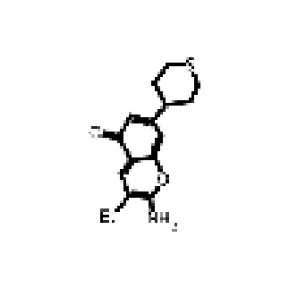 CCc1cc2c(=O)cc(C3CCSCC3)cc-2oc1N